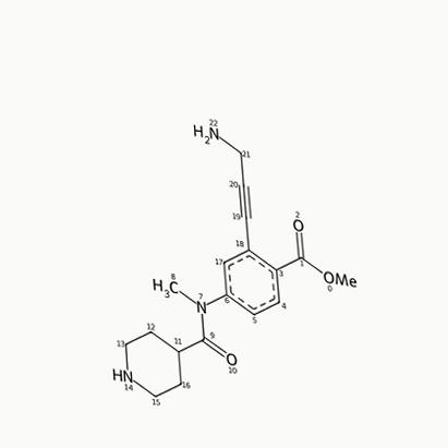 COC(=O)c1ccc(N(C)C(=O)C2CCNCC2)cc1C#CCN